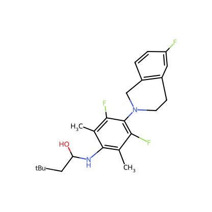 Cc1c(F)c(N2CCc3cc(F)ccc3C2)c(F)c(C)c1NC(O)CC(C)(C)C